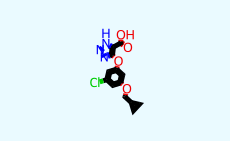 O=C(O)c1[nH]nnc1Oc1cc(Cl)cc(OCC2CC2)c1